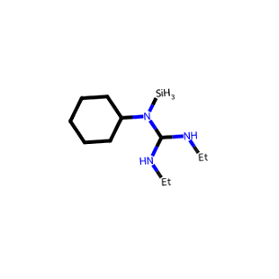 CCNC(NCC)N([SiH3])C1CCCCC1